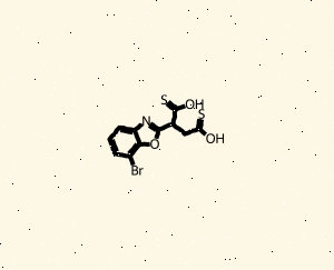 OC(=S)CC(C(O)=S)c1nc2cccc(Br)c2o1